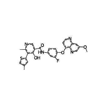 COc1cnc2c(Oc3ccc(NC(=O)c4cnc(C)c(-c5cc(C)cs5)c4O)cc3F)ccnc2c1